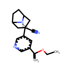 C=C(OCC)c1cncc(C2(C#N)CC3CCC(C2)N3C)c1